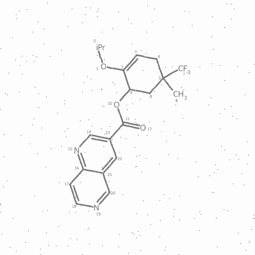 CC(C)OC1=CCC(C)(C(F)(F)F)CC1OC(=O)c1cnc2ccncc2c1